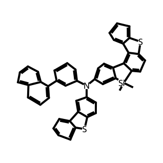 C[Si]1(C)c2cc(N(c3cccc(-c4cccc5ccccc45)c3)c3ccc4sc5ccccc5c4c3)ccc2-c2c1ccc1sc3ccccc3c21